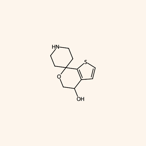 OC1COC2(CCNCC2)c2sccc21